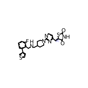 O=C1NC(=O)/C(=C/c2ccnc(N3CCC(CNCc4c(F)cccc4-c4ccsc4)CC3)n2)S1